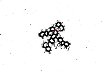 CC1(C)c2ccccc2-c2ccc(-c3c4cc(N5CCCc6ccccc65)ccc4c(-c4cc5ccccc5cc4-c4ccccc4)c4cc(N5CCCC6=C5CCC=C6)ccc34)cc21